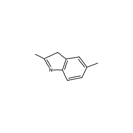 CC1=Nc2ccc(C)cc2C1